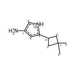 CC1(C)CC(c2cc(N)c[nH]2)C1